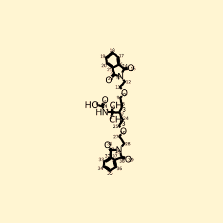 CC(C)(NC(=O)O)C(CCOCCN1C(=O)c2ccccc2C1=O)CCOCCN1C(=O)c2ccccc2C1=O